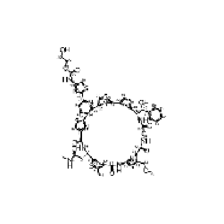 CNC(=O)C[C@@H]1NC(=O)c2csc(n2)-c2ccc(-c3nc(NC(=O)OCCO)cs3)nc2-c2csc(n2)-c2csc(n2)[C@H]([C@@H](O)c2ccccc2)NC(=O)CNC(=O)c2nc(sc2COC)NC(=O)c2nc1sc2C